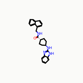 O=C(NCc1cccc2ccccc12)[C@H]1CC[C@H](Nc2nc3ccccc3[nH]2)CC1